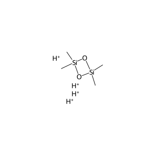 C[Si]1(C)O[Si](C)(C)O1.[H+].[H+].[H+].[H+]